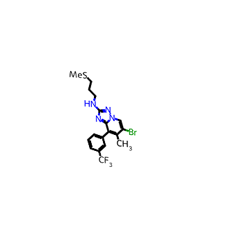 CSCCCNc1nc2c(-c3cccc(C(F)(F)F)c3)c(C)c(Br)cn2n1